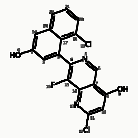 Oc1cc(-c2ncc3c(O)cc(Cl)nc3c2F)c2c(Cl)cccc2c1